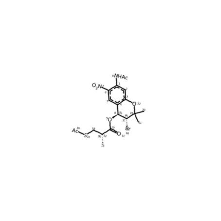 CC(=O)Nc1cc2c(cc1[N+](=O)[O-])[C@H](OC(=O)[C@H](C)CSC(C)=O)[C@@H](Br)C(C)(C)O2